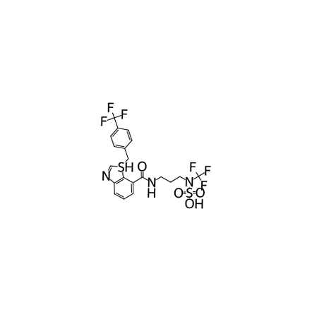 O=C(NCCCN(C(F)(F)F)S(=O)(=O)O)c1cccc2c1[SH](Cc1ccc(C(F)(F)F)cc1)C=N2